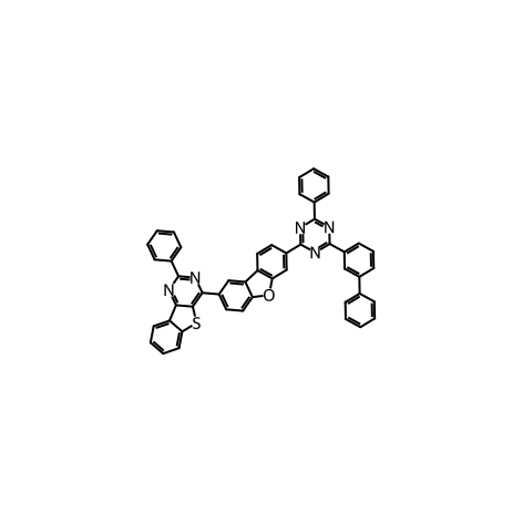 c1ccc(-c2cccc(-c3nc(-c4ccccc4)nc(-c4ccc5c(c4)oc4ccc(-c6nc(-c7ccccc7)nc7c6sc6ccccc67)cc45)n3)c2)cc1